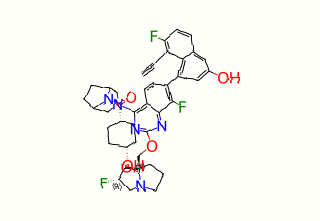 C#Cc1c(F)ccc2cc(O)cc(-c3ccc4c(N5CC6CCC(C5)N6C(=O)[C@H]5CC[C@@H](O)CC5)nc(OC[C@@]56CCCN5C[C@H](F)C6)nc4c3F)c12